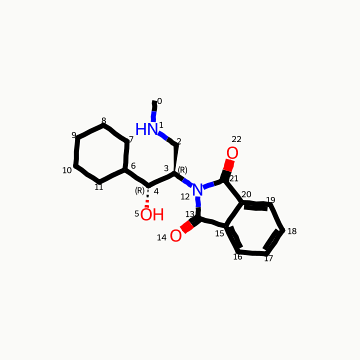 CNC[C@H]([C@H](O)C1CCCCC1)N1C(=O)c2ccccc2C1=O